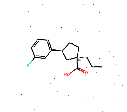 CCC[C@@]1(C(=O)O)CC[C@H](c2cccc(F)c2)C1